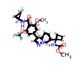 COC(=O)NC1(c2ccc3c(-c4cc(OC)c(C(=O)NC5CC5F)c(OC(F)F)c4)cnn3c2)CCC1